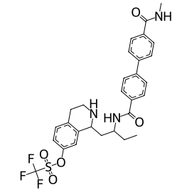 CCC(CC1NCCc2ccc(OS(=O)(=O)C(F)(F)F)cc21)NC(=O)c1ccc(-c2ccc(C(=O)NC)cc2)cc1